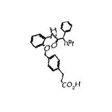 CCCC(C(=O)Nc1ccccc1OCc1ccc(CCC(=O)O)cc1)c1ccccc1